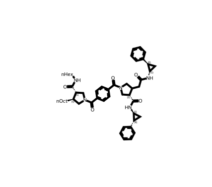 CCCCCCCC[C@@H]1CN(C(=O)c2ccc(C(=O)N3CC(CC(=O)N[C@H]4C[C@@H]4c4ccccc4)[C@H](C(=O)N[C@H]4C[C@@H]4c4ccccc4)C3)cc2)C[C@H]1C(=O)NCCCCCC